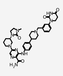 CN1CCN([C@@H]2CCCN(c3cnc(C(N)=O)c(Nc4ccc(C5CCN(Cc6cccc(N7CCC(=O)NC7=O)c6)CC5)cc4)n3)C2)C1=O